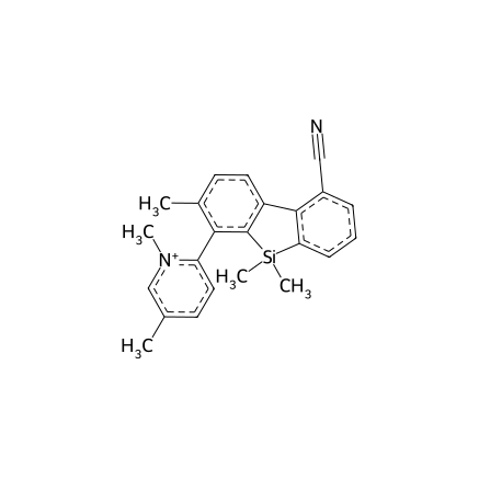 Cc1ccc(-c2c(C)ccc3c2[Si](C)(C)c2cccc(C#N)c2-3)[n+](C)c1